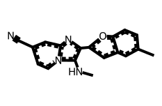 CNc1c(-c2cc3cc(C)ccc3o2)nc2cc(C#N)ccn12